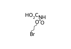 O=C(O)NC(=O)OCCCCBr